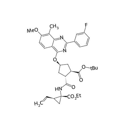 C=C[C@@H]1C[C@]1(NC(=O)[C@@H]1C[C@@H](Oc2nc(-c3cccc(F)c3)nc3c(C)c(OC)ccc23)C[C@H]1C(=O)OC(C)(C)C)C(=O)OCC